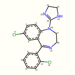 Clc1ccc2c(c1)C(c1ccccc1Cl)=NCCN2C1=NCCN1